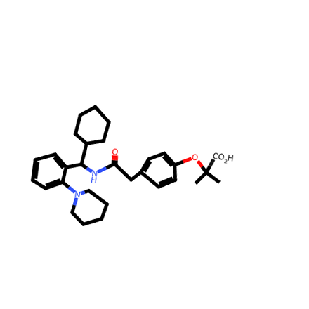 CC(C)(Oc1ccc(CC(=O)NC(c2ccccc2N2CCCCC2)C2CCCCC2)cc1)C(=O)O